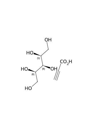 C#CC(=O)O.OC[C@@H](O)[C@H](O)[C@@H](O)CO